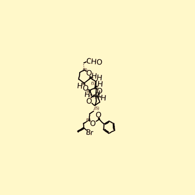 C=C(Br)C[C@@H](CC[C@@]12C[C@H]3[C@H]4O[C@@H](CC=O)CC[C@@H]4O[C@H]4[C@@H](O1)[C@@H](C2)O[C@@H]34)OC(=O)c1ccccc1